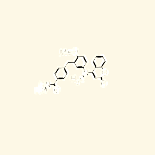 COc1ccc(N(C)c2cc(=O)oc3ccccc23)cc1Cc1ccc(C(=O)NO)cc1